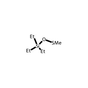 CC[Si](CC)(CC)OSC